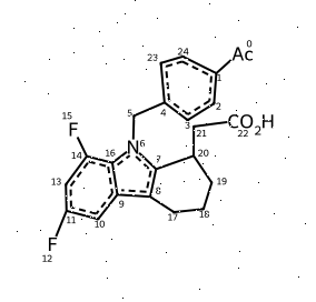 CC(=O)c1ccc(Cn2c3c(c4cc(F)cc(F)c42)CCCC3CC(=O)O)cc1